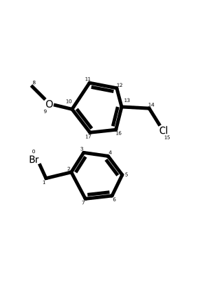 BrCc1ccccc1.COc1ccc(CCl)cc1